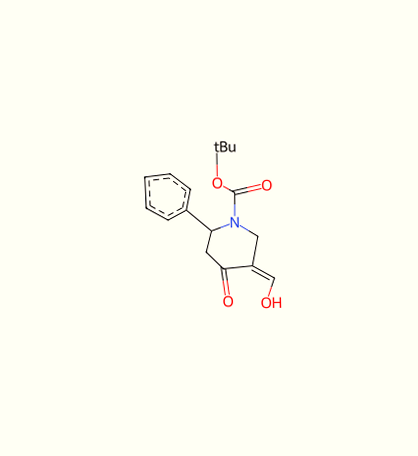 CC(C)(C)OC(=O)N1CC(=CO)C(=O)CC1c1ccccc1